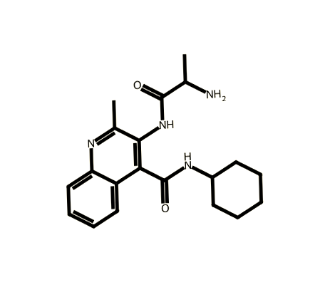 Cc1nc2ccccc2c(C(=O)NC2CCCCC2)c1NC(=O)C(C)N